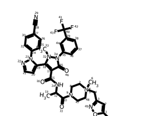 Cc1cc(C[N+]2(C)CCN(C(=O)C(C)NC(=O)c3c(-c4ccnn4-c4ccc(C#N)cc4)n(C)n(-c4cccc(C(F)(F)F)c4)c3=O)CC2)no1